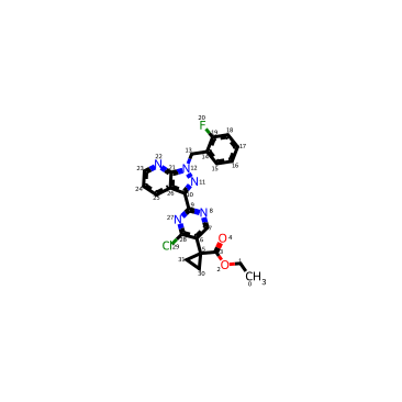 CCOC(=O)C1(c2cnc(-c3nn(Cc4ccccc4F)c4ncccc34)nc2Cl)CC1